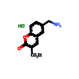 CCOC(=O)c1cc2cc(CN)ccc2oc1=O.Cl